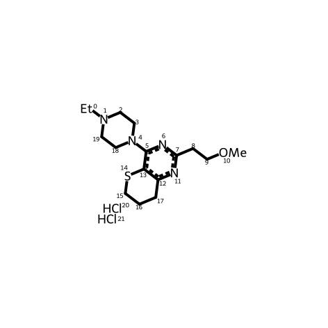 CCN1CCN(c2nc(CCOC)nc3c2SCCC3)CC1.Cl.Cl